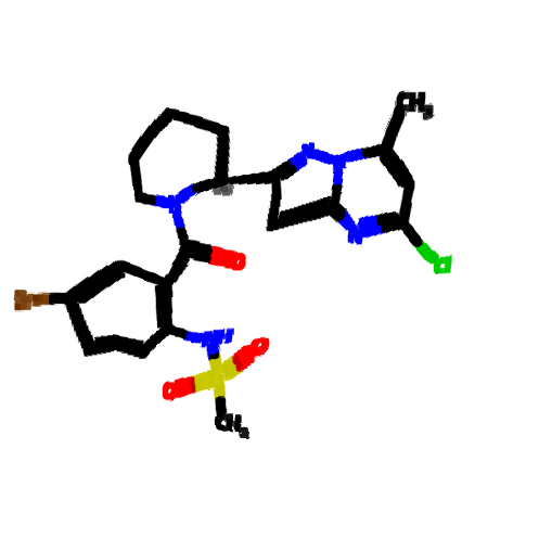 Cc1cc(Cl)nc2cc([C@@H]3CCCCN3C(=O)c3cc(Br)ccc3NS(C)(=O)=O)nn12